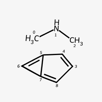 CNC.c1cc2cc-2c1